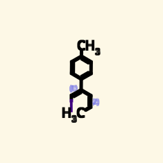 C/C=C\C(=C/I)c1ccc(C)cc1